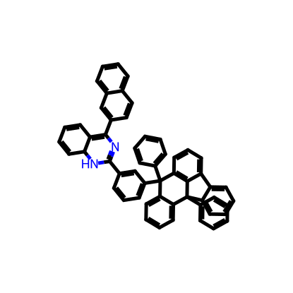 C1=CC2=C(c3ccc4ccccc4c3)N=C(c3cccc(C4(c5ccccc5)c5ccccc5C5(c6ccccc6)c6ccccc6-c6cccc4c65)c3)NC2C=C1